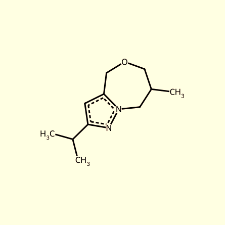 CC1COCc2cc(C(C)C)nn2C1